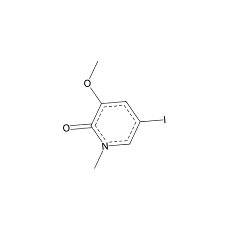 COc1cc(I)cn(C)c1=O